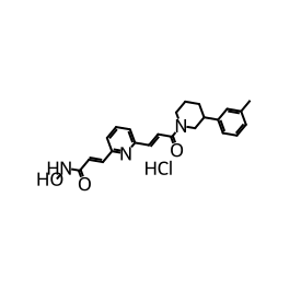 Cc1cccc(C2CCCN(C(=O)C=Cc3cccc(C=CC(=O)NO)n3)C2)c1.Cl